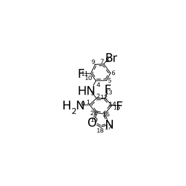 Nc1c(Nc2ccc(Br)cc2F)c(F)c(F)c2ncoc12